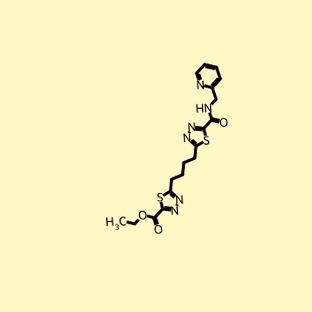 CCOC(=O)c1nnc(CCCCc2nnc(C(=O)NCc3ccccn3)s2)s1